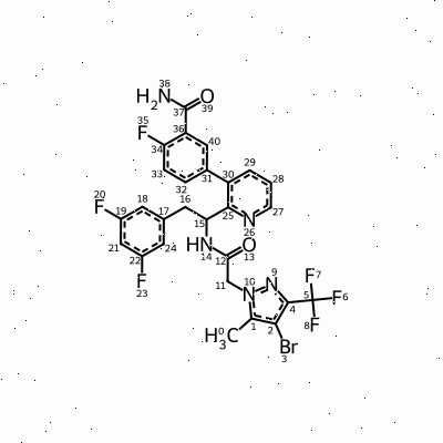 Cc1c(Br)c(C(F)(F)F)nn1CC(=O)NC(Cc1cc(F)cc(F)c1)c1ncccc1-c1ccc(F)c(C(N)=O)c1